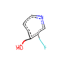 Oc1c[c]ncc1F